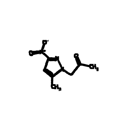 CC(=O)Cn1nc([N+](=O)[O-])cc1C